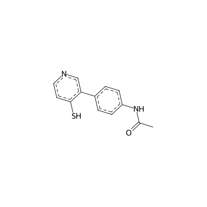 CC(=O)Nc1ccc(-c2cnccc2S)cc1